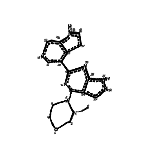 C[C@@H]1COCCN1c1nc(-c2cncc3[nH]ccc23)nc2[nH]ncc12